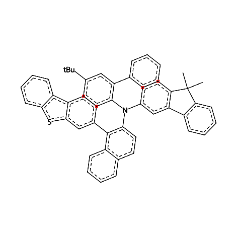 CC(C)(C)c1ccc(N(c2ccc3c(c2)-c2ccccc2C3(C)C)c2ccc3ccccc3c2-c2ccc3c(c2)sc2ccccc23)c(-c2ccccc2)c1